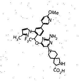 COc1ccc(-c2ccc([C@@H](Oc3cc(N4CCC5(CC4)CN[C@H](C(=O)O)C5)nc(N)n3)C(F)(F)F)c(-n3ccc(C)n3)c2)cn1